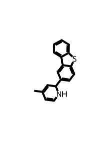 CC1=CC(c2ccc3sc4ccccc4c3c2)NC=C1